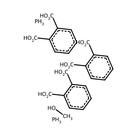 CO.O=C(O)c1ccccc1C(=O)O.O=C(O)c1ccccc1C(=O)O.O=C(O)c1ccccc1C(=O)O.P.P